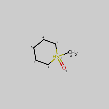 [CH2][SH]1(=O)CCCCC1